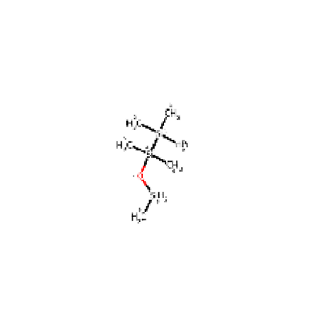 [CH2]CC[Si](C)(C)[Si](C)(C)O[SiH2]C